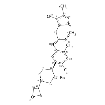 C=N/C(Cc1snc(C)c1Cl)=N\c1cc([C@@H]2CCN(C3COC3)C[C@H]2F)c(Cl)cc1C